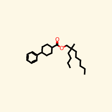 CCCCCCC(C)(CCCC)COC(=O)C1CCC(c2ccccc2)CC1